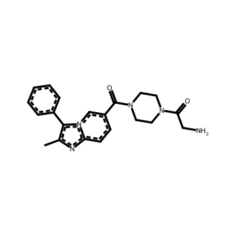 Cc1nc2ccc(C(=O)N3CCN(C(=O)CN)CC3)cn2c1-c1ccccc1